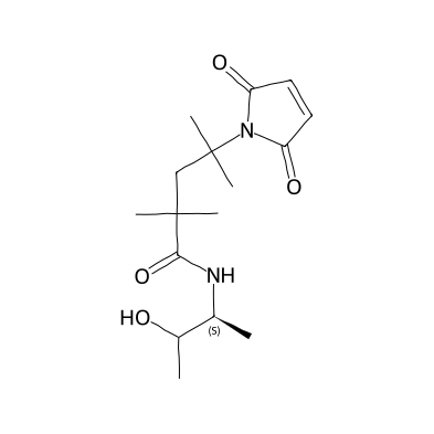 CC(O)[C@H](C)NC(=O)C(C)(C)CC(C)(C)N1C(=O)C=CC1=O